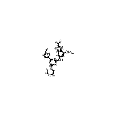 COc1cc(Nc2nc(-c3ccn(C)n3)nc(N3CCOCC3)n2)cc2[nH]c(C(F)F)nc12